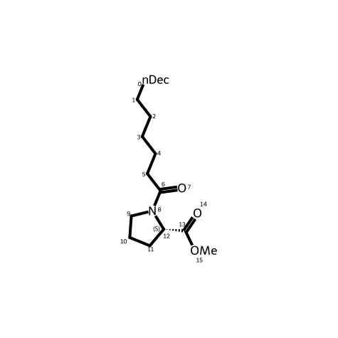 CCCCCCCCCCCCCCCC(=O)N1CCC[C@H]1C(=O)OC